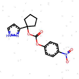 O=C(Oc1ccc([N+](=O)[O-])cc1)OC1(c2cc[nH]n2)CCCC1